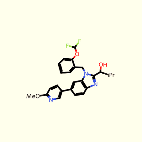 COc1ccc(-c2ccc3nc(C(O)C(C)C)n(Cc4ccccc4OC(F)F)c3c2)cn1